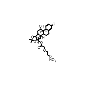 CC1(C)O[C@@H]2C[C@H]3C4CCC5=CC(=O)C=C[C@]5(C)[C@@]4(F)[C@@H](O)C[C@]3(C)[C@]2(C(=O)COC(=O)COCCO[N+](=O)[O-])O1